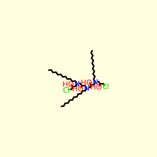 CCCCCCCCCCCCN(CC(O)CCl)CC(O)CN(CCCCCCCCCCCC)CC(O)CN(CCCCCCCCCCCC)CC(O)CCl